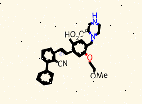 COCCOc1cc(/C=C/c2cccc(-c3ccccc3)c2C#N)c(C)cc1CN1CCNC[C@H]1C(=O)O